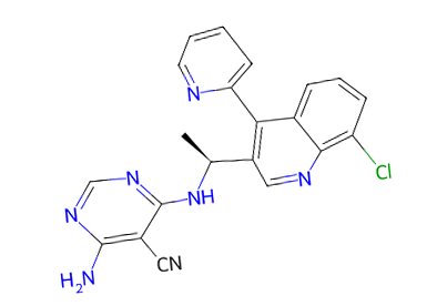 C[C@H](Nc1ncnc(N)c1C#N)c1cnc2c(Cl)cccc2c1-c1ccccn1